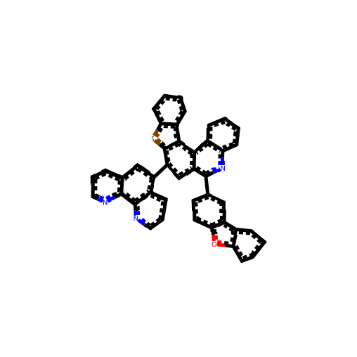 c1cnc2c(c1)cc(-c1cc3c(-c4ccc5oc6ccccc6c5c4)nc4ccccc4c3c3c1sc1ccccc13)c1cccnc12